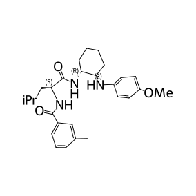 COc1ccc(N[C@@H]2CCCC[C@H]2NC(=O)[C@H](CC(C)C)NC(=O)c2cccc(C)c2)cc1